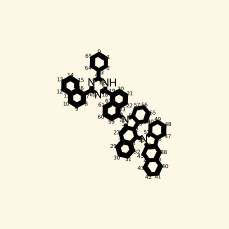 C1=CCC(C2N=C(c3cccc4ccccc34)N=C(c3cccc4c(N5C6=Cc7ccccc7C(N7C8=C(C=C9C=CC=CC9C8)C8C=CCCC87)C6C6C=CCCC65)cccc34)N2)C=C1